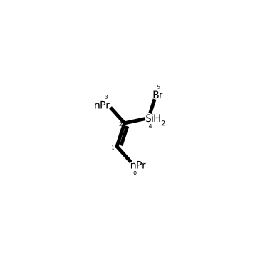 CCCC=C(CCC)[SiH2]Br